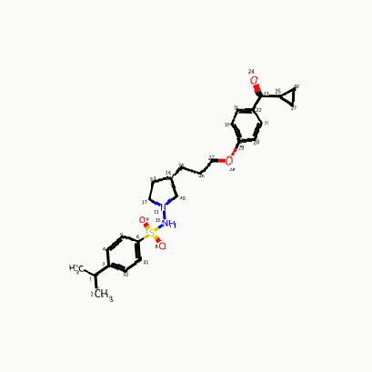 CC(C)c1ccc(S(=O)(=O)NN2CC[C@@H](CCCOc3ccc(C(=O)C4CC4)cc3)C2)cc1